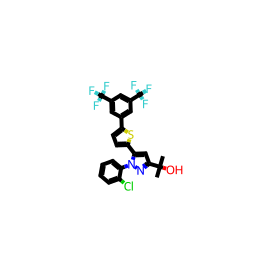 CC(C)(O)c1cc(-c2ccc(-c3cc(C(F)(F)F)cc(C(F)(F)F)c3)s2)n(-c2ccccc2Cl)n1